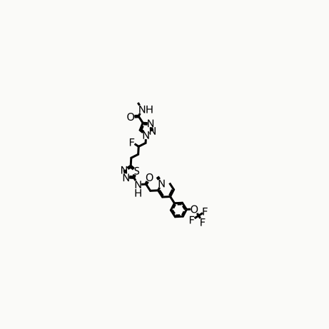 C=N/C(=C\C(=C/C)c1cccc(OC(F)(F)F)c1)CC(=O)Nc1nnc(CCC(F)Cn2cc(C(=O)NC)nn2)s1